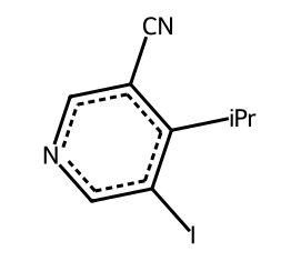 CC(C)c1c(I)cncc1C#N